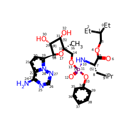 CCC(CC)COC(=O)[C@H](CC(C)C)N[P@](=O)(OC[C@@]1(C)O[C@@H](c2ccc3c(N)ncnn23)[C@H](O)[C@@H]1O)Oc1ccccc1